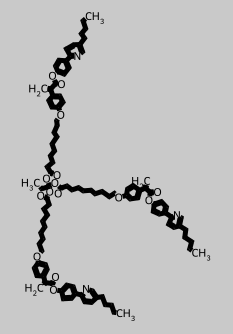 C=C(C(=O)Oc1ccc(-c2ccc(CCCCC)cn2)cc1)c1ccc(OCCCCCCCCCC(=O)OC(CC)(OC(=O)CCCCCCCCCOc2ccc(C(=C)C(=O)Oc3ccc(-c4ccc(CCCCC)cn4)cc3)cc2)OC(=O)CCCCCCCCCOc2ccc(C(=C)C(=O)Oc3ccc(-c4ccc(CCCCC)cn4)cc3)cc2)cc1